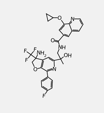 CC(O)(CNC(=O)c1cc(OC2CC2)c2ncccc2c1)c1cc2c(c(-c3ccc(F)cc3)n1)OCC2(N)C(F)(F)F